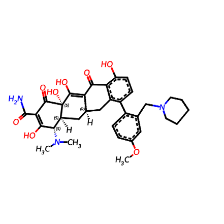 COc1ccc(-c2ccc(O)c3c2C[C@H]2C[C@H]4[C@H](N(C)C)C(O)=C(C(N)=O)C(=O)[C@@]4(O)C(O)=C2C3=O)c(CN2CCCCC2)c1